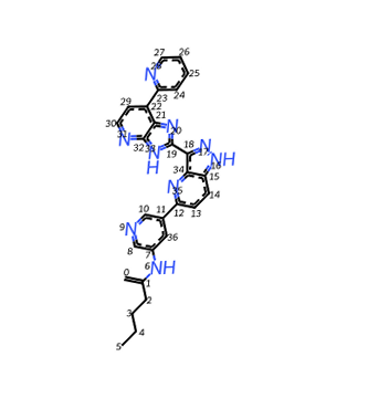 C=C(CCCC)Nc1cncc(-c2ccc3[nH]nc(-c4nc5c(-c6ccccn6)ccnc5[nH]4)c3n2)c1